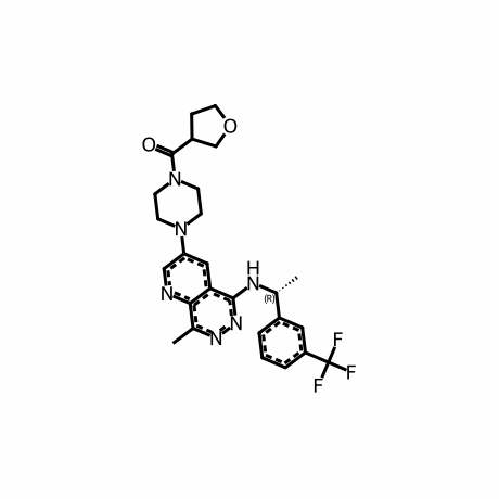 Cc1nnc(N[C@H](C)c2cccc(C(F)(F)F)c2)c2cc(N3CCN(C(=O)C4CCOC4)CC3)cnc12